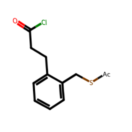 CC(=O)SCc1ccccc1CCC(=O)Cl